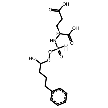 O=C(O)CC[C@H](NP(=O)(O)OOC(O)CCCc1ccccc1)C(=O)O